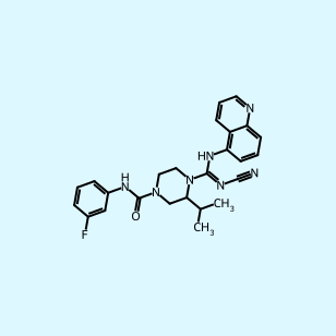 CC(C)C1CN(C(=O)Nc2cccc(F)c2)CCN1C(=NC#N)Nc1cccc2ncccc12